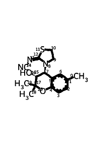 Cc1ccc2c(c1)[C@H](N1CCS/C1=N/C#N)[C@@H](O)C(C)(C)O2